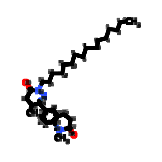 CCCCCCCCCCCCCCCCN1N=C(c2ccc3c(c2)CCC(=O)N3C)C(C)CC1=O